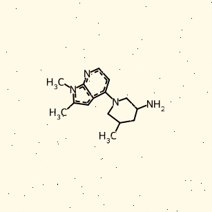 Cc1cc2c(N3CC(C)CC(N)C3)ccnc2n1C